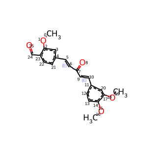 COc1cc(/C=C/C(=O)/C=C/c2ccc(OC)c(OC)c2)ccc1C=O